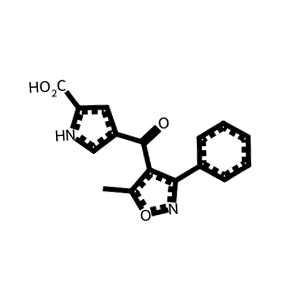 Cc1onc(-c2ccccc2)c1C(=O)c1c[nH]c(C(=O)O)c1